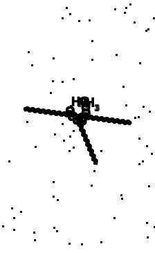 CC(=O)O.CCCCCCCCCCCCCCCCCC(=O)OCC(COC(=O)CCCCCCCCCCCCCCCCC)OC(=O)CCCCCCCCCCCCCCCCC.N